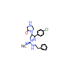 N#C/N=C(\NCCc1ccccc1)N1CC(N2CCNCC2=O)C(c2ccc(Cl)cc2)=N1